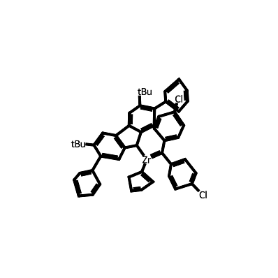 CC(C)(C)c1cc2c(cc1-c1ccccc1)[CH]([Zr]([C]1=CC=CC1)=[C](c1ccc(Cl)cc1)c1ccc(Cl)cc1)c1cc(-c3ccccc3)c(C(C)(C)C)cc1-2